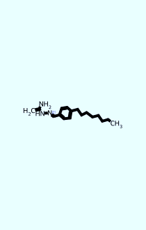 C=C(N)N/N=C/c1ccc(CCCCCCCC)cc1